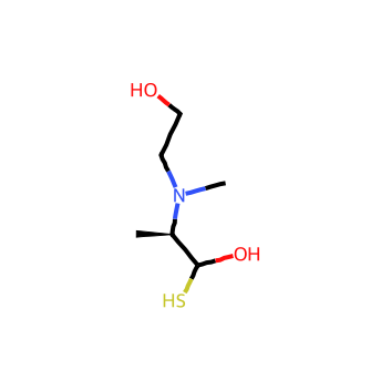 C[C@H](C(O)S)N(C)CCO